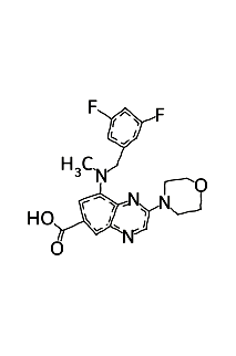 CN(Cc1cc(F)cc(F)c1)c1cc(C(=O)O)cc2ncc(N3CCOCC3)nc12